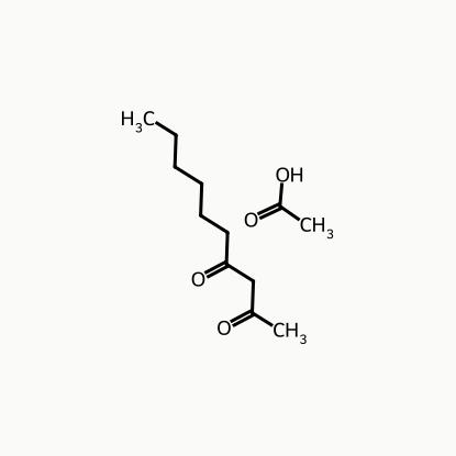 CC(=O)O.CCCCCCC(=O)CC(C)=O